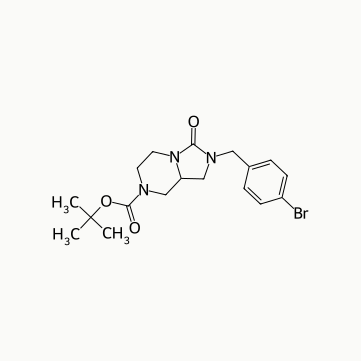 CC(C)(C)OC(=O)N1CCN2C(=O)N(Cc3ccc(Br)cc3)CC2C1